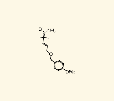 COc1ccc(COCC=CC(C)(C)[S+](N)[O-])cc1